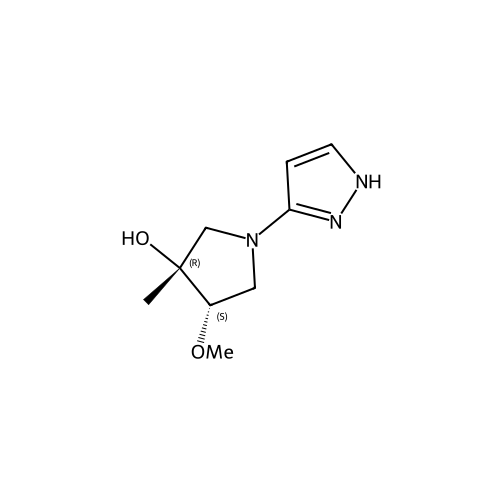 CO[C@H]1CN(c2cc[nH]n2)C[C@@]1(C)O